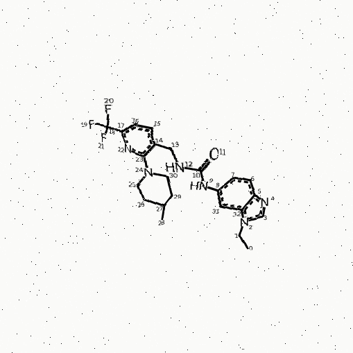 CCn1cnc2ccc(NC(=O)NCc3ccc(C(F)(F)F)nc3N3CCC(C)CC3)cc21